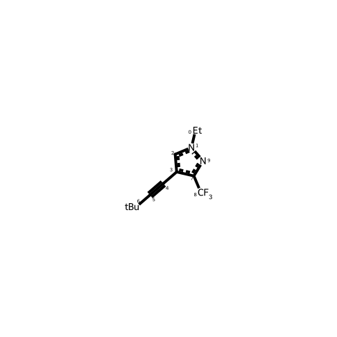 CCn1cc(C#CC(C)(C)C)c(C(F)(F)F)n1